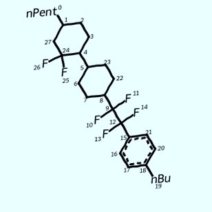 CCCCCC1CCC(C2CCC(C(F)(F)C(F)(F)c3ccc(CCCC)cc3)CC2)C(F)(F)C1